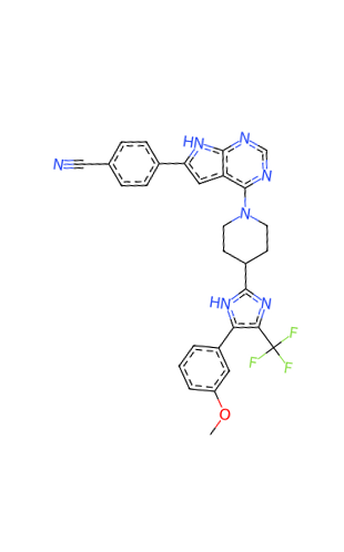 COc1cccc(-c2[nH]c(C3CCN(c4ncnc5[nH]c(-c6ccc(C#N)cc6)cc45)CC3)nc2C(F)(F)F)c1